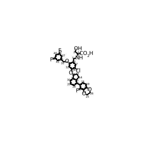 O=C(O)[C@H](CO)NCc1cc(Cl)c(O[C@H]2CCc3c(-c4ccc5c(c4F)OCCO5)cccc32)cc1OCc1cc(F)cc(F)c1